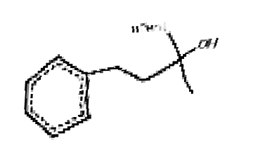 CCCCCC(C)(O)CCc1ccccc1